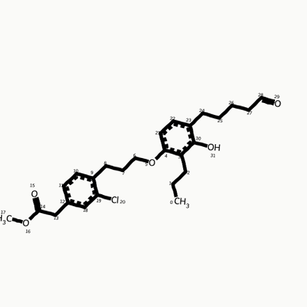 CCCc1c(OCCCc2ccc(CC(=O)OC)cc2Cl)ccc(CCCCC=O)c1O